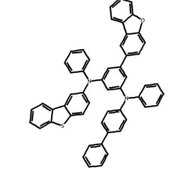 c1ccc(-c2ccc(N(c3ccccc3)c3cc(-c4ccc5oc6ccccc6c5c4)cc(N(c4ccccc4)c4ccc5sc6ccccc6c5c4)c3)cc2)cc1